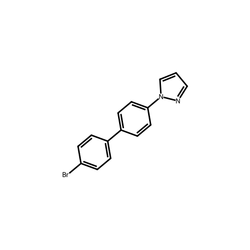 Brc1ccc(-c2ccc(-n3cccn3)cc2)cc1